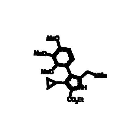 CCOC(=O)c1[nH]c(CNC)c(-c2ccc(OC)c(OC)c2OC)c1C1CC1